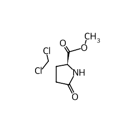 COC(=O)[C@@H]1CCC(=O)N1.ClCCl